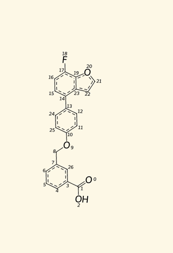 O=C(O)c1cccc(COc2ccc(-c3ccc(F)c4occc34)cc2)c1